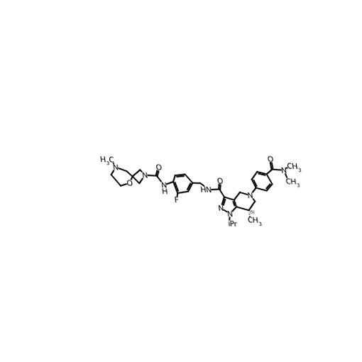 CC(C)n1nc(C(=O)NCc2ccc(NC(=O)N3CC4(CN(C)CCO4)C3)c(F)c2)c2c1[C@@H](C)CN(c1ccc(C(=O)N(C)C)cc1)C2